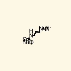 CCCCOC(=O)NCCCN=[N+]=[N-]